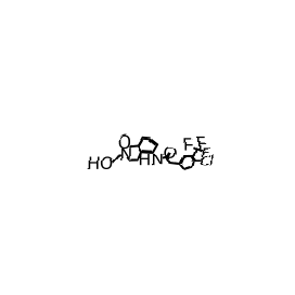 O=C(Cc1ccc(Cl)c(C(F)(F)F)c1)Nc1cccc2c(=O)n(CCO)ccc12